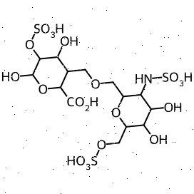 O=C(O)C1OC(O)C(OS(=O)(=O)O)C(O)C1COCC1OC(COS(=O)(=O)O)C(O)C(O)C1NS(=O)(=O)O